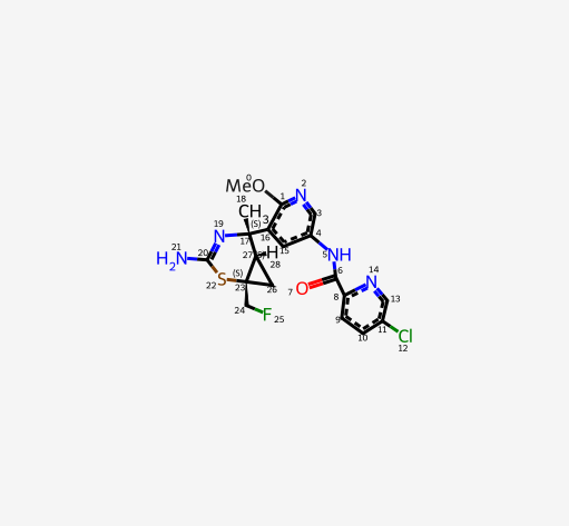 COc1ncc(NC(=O)c2ccc(Cl)cn2)cc1[C@@]1(C)N=C(N)S[C@@]2(CF)C[C@H]21